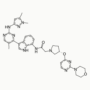 Cc1cnc(Nc2cc(C)n(C)n2)nc1-c1c[nH]c2c(NC(=O)CN3CC[C@H](Oc4ccnc(N5CCOCC5)n4)C3)cccc12